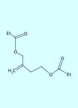 C=C(CCOC(=O)CC)COC(=O)CC